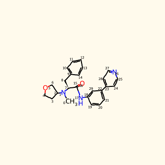 CN(C1CCOC1)[C@@H](Cc1ccccc1)C(=O)Nc1cccc(-c2ccncc2)c1